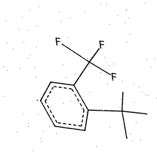 CC(C)(C)c1cc[c]cc1C(F)(F)F